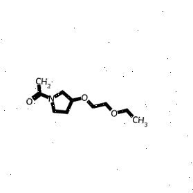 [CH2]C(=O)N1CCC(OCCOCC)C1